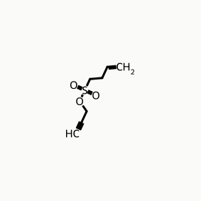 C#CCOS(=O)(=O)CCC=C